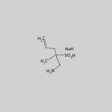 C=CCC(C)(CN)S(=O)(=O)O.[NaH]